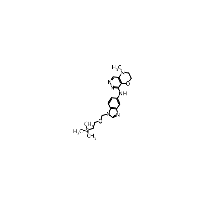 CN1CCOc2c1cnnc2Nc1ccc2c(c1)ncn2COCC[Si](C)(C)C